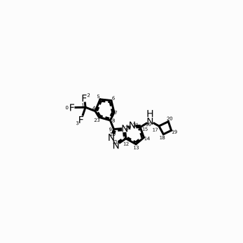 FC(F)(F)c1cccc(-c2nnc3ccc(NC4CCC4)nn23)c1